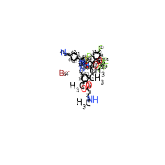 CNCCC(=O)Oc1c(C)cc(C[n+]2cnn(CC(OC(=O)C(F)(F)F)(c3ccc(F)cc3F)C(C)Cc3nc(-c4ccc(C#N)cc4)cs3)c2)cc1C.[Br-]